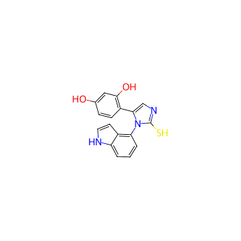 Oc1ccc(-c2cnc(S)n2-c2cccc3[nH]ccc23)c(O)c1